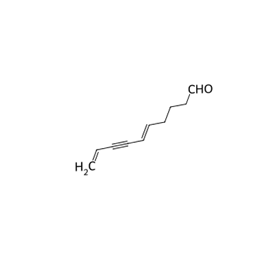 C=CC#CC=CCCCC=O